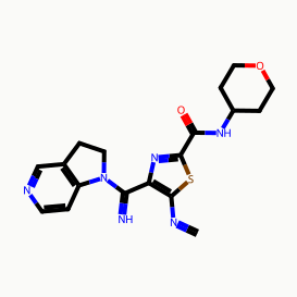 C=Nc1sc(C(=O)NC2CCOCC2)nc1C(=N)N1CCc2cnccc21